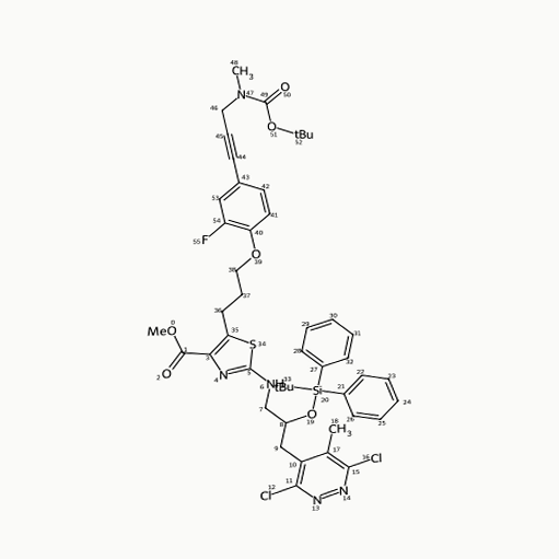 COC(=O)c1nc(NCC(Cc2c(Cl)nnc(Cl)c2C)O[Si](c2ccccc2)(c2ccccc2)C(C)(C)C)sc1CCCOc1ccc(C#CCN(C)C(=O)OC(C)(C)C)cc1F